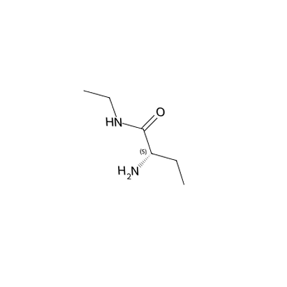 CCNC(=O)[C@@H](N)CC